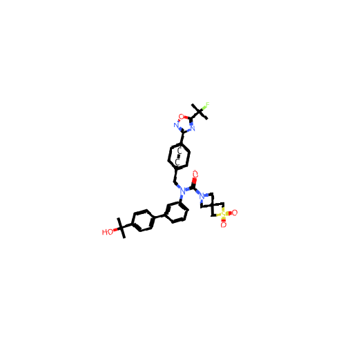 CC(C)(O)c1ccc(-c2cccc(N(CC34CCC(c5noc(C(C)(C)F)n5)(CC3)CC4)C(=O)N3CC4(C3)CS(=O)(=O)C4)c2)cc1